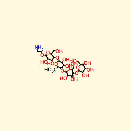 NCCO[C@@H]1OC(CO)[C@@H](O[C@@H]2OC(C(=O)O)[C@@H](O[C@H]3OC(CO)[C@H](O[C@H]4OC(CO)[C@@H](O)C(O)C4O)[C@H](O)C3O)C(O)C2O)C(O)C1O